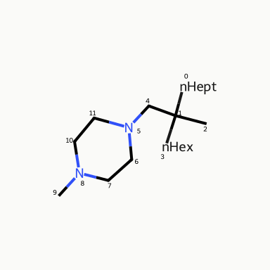 CCCCCCCC(C)(CCCCCC)CN1CCN(C)CC1